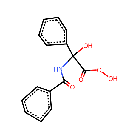 O=C(NC(O)(C(=O)OO)c1ccccc1)c1ccccc1